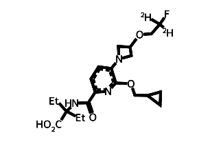 [2H]C([2H])(F)COC1CN(c2ccc(C(=O)NC(CC)(CC)C(=O)O)nc2OCC2CC2)C1